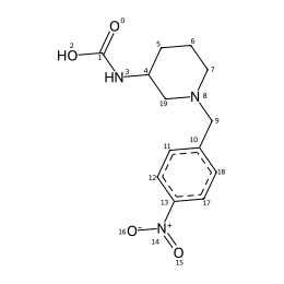 O=C(O)NC1CCCN(Cc2ccc([N+](=O)[O-])cc2)C1